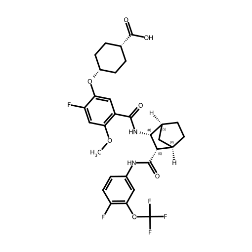 COc1cc(F)c(O[C@H]2CC[C@@H](C(=O)O)CC2)cc1C(=O)N[C@@H]1[C@H]2CC[C@H](C2)[C@@H]1C(=O)Nc1ccc(F)c(OC(F)(F)F)c1